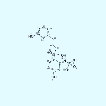 O=P(O)(O)N=C1CC(O)=CC=C1C(O)(O)CCCc1cccc(O)c1